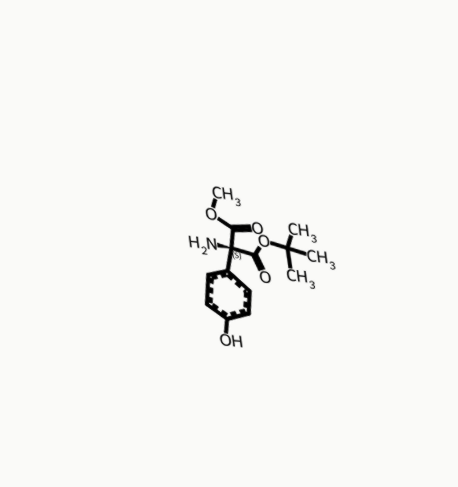 COC(=O)[C@](N)(C(=O)OC(C)(C)C)c1ccc(O)cc1